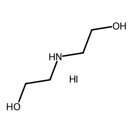 I.OCCNCCO